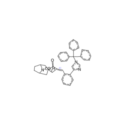 O=C(O)N1C2CCC1CC1(C/C(=C\c3ccccc3-c3cn(C(c4ccccc4)(c4ccccc4)c4ccccc4)cn3)C1=O)C2